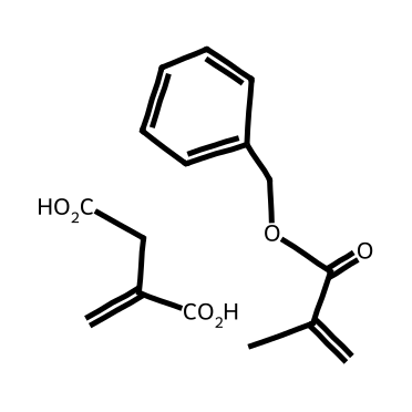 C=C(C)C(=O)OCc1ccccc1.C=C(CC(=O)O)C(=O)O